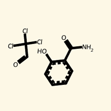 NC(=O)c1ccccc1O.O=CC(Cl)(Cl)Cl